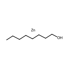 CCCCCCCCO.[Zn]